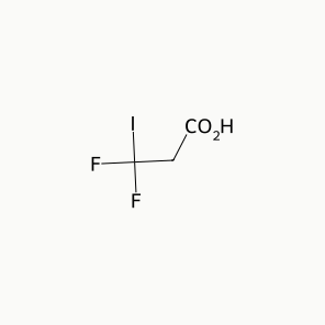 O=C(O)CC(F)(F)I